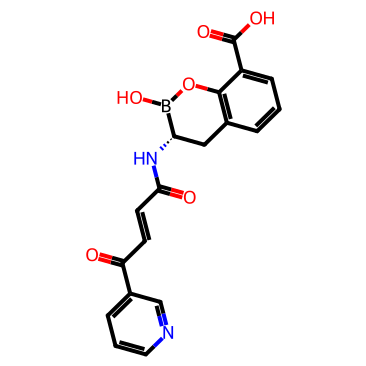 O=C(/C=C/C(=O)c1cccnc1)N[C@H]1Cc2cccc(C(=O)O)c2OB1O